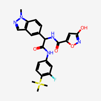 Cn1ncc2cc(C(NC(=O)c3cc(O)no3)C(=O)Nc3ccc(S(C)(C)C)c(F)c3)ccc21